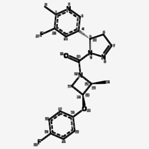 Cc1ncc([C@@H]2CC=NN2C(=O)N2C[C@H](Oc3ccc(F)cc3)[C@@H]2C)cc1F